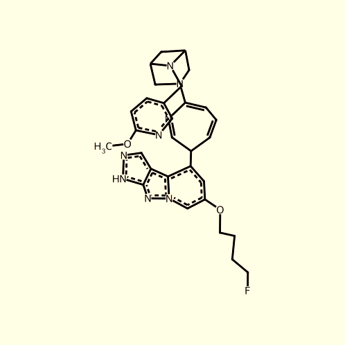 COc1ccc(CN2C3CC2CN(C2=CC=CC(c4cc(OCCCCF)cn5nc6[nH]ncc6c45)C=N2)C3)cn1